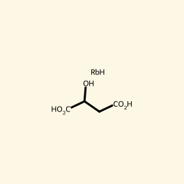 O=C(O)CC(O)C(=O)O.[RbH]